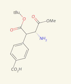 COC(=O)[C@H](N)C(C(=O)OC(C)(C)C)c1ccc(C(=O)O)cc1